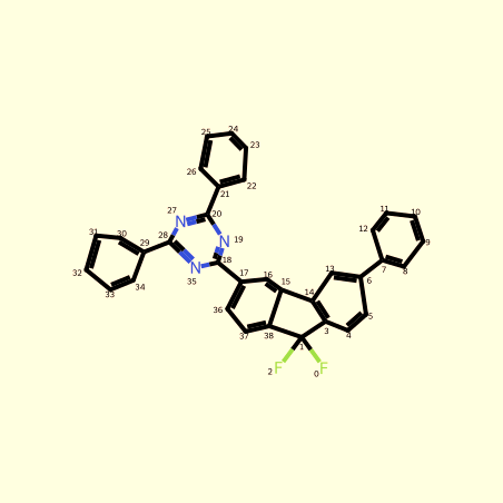 FC1(F)c2ccc(-c3ccccc3)cc2-c2cc(-c3nc(-c4ccccc4)nc(-c4ccccc4)n3)ccc21